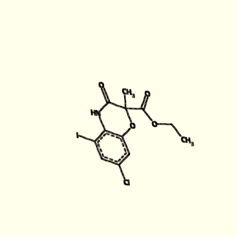 CCOC(=O)C1(C)Oc2cc(Cl)cc(I)c2NC1=O